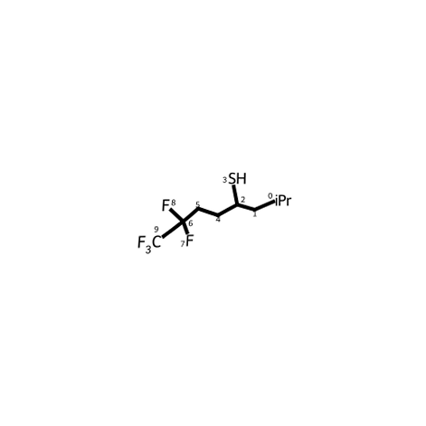 CC(C)CC(S)CCC(F)(F)C(F)(F)F